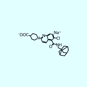 O=C(NCC12CC3CC(CC(C3)C1)C2)c1c(Cl)ccc2nc(N3CCC(C(=O)[O-])CC3)ccc12.[Na+]